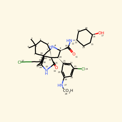 CC1(C)CCC2(CC1)N[C@@H](C(=O)N[C@H]1CC[C@H](O)CC1)[C@H](c1cc(Cl)cc(NC(=O)O)c1)[C@]21C(=O)Nc2cc(Cl)ccc21